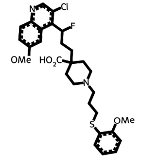 COc1ccc2ncc(Cl)c(C(F)CCC3(C(=O)O)CCN(CCCSc4ccccc4OC)CC3)c2c1